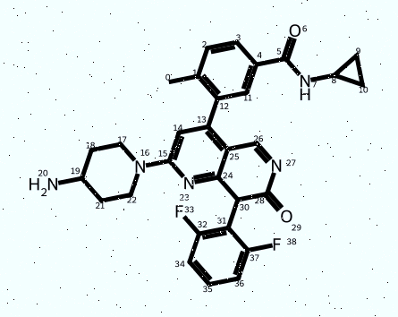 Cc1ccc(C(=O)NC2CC2)cc1-c1cc(N2CCC(N)CC2)nc2c1C=NC(=O)C2c1c(F)cccc1F